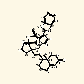 C=C(O[C@]1(C(=O)SCc2nc3ccccc3o2)CCCC1(C)CCC1CCCC2=CC(=O)CCC21C)c1ccco1